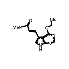 CNC(=O)C=Cc1c[nH]c2ncnc(OCC(C)(C)C)c12